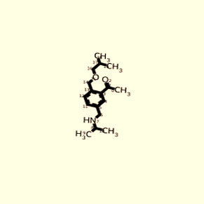 CC(=O)c1cc(CNC(C)C)ccc1COCC(C)C